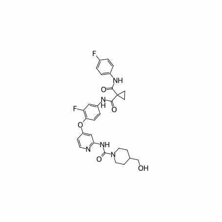 O=C(Nc1cc(Oc2ccc(NC(=O)C3(C(=O)Nc4ccc(F)cc4)CC3)cc2F)ccn1)N1CCC(CO)CC1